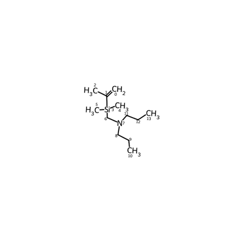 C=C(C)[Si](C)(C)CN(CCC)CCC